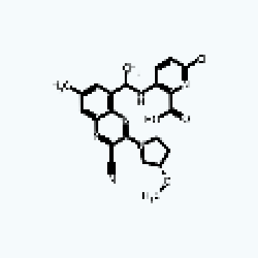 CO[C@H]1CCN(c2nc3c([C@@H](C)Nc4ccc(Cl)nc4C(=O)O)cc(C)cc3nc2C#N)C1